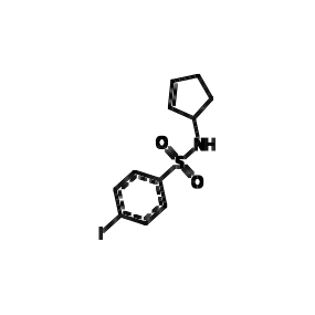 O=S(=O)(NC1C=CCC1)c1ccc(I)cc1